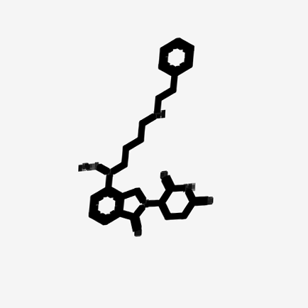 CCCCCN(CCCCNCCc1ccccc1)c1cccc2c1CN(C1CCC(=O)NC1=O)C2=O